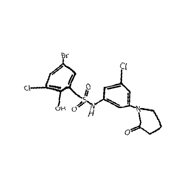 O=C1CCCN1c1cc(Cl)cc(NS(=O)(=O)c2cc(Br)cc(Cl)c2O)c1